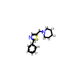 c1ccc(-c2ncc(CN3CCCCC3)s2)cc1